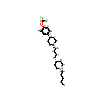 CCCCC[Si@H]1CC[C@H](CCCC[Si@H]2CC[C@H](c3ccc(OC(F)F)c(F)c3)CC2)CC1